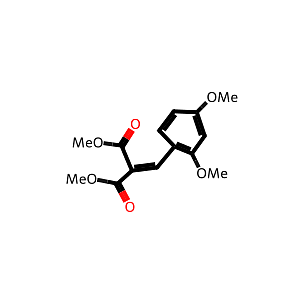 COC(=O)C(=Cc1ccc(OC)cc1OC)C(=O)OC